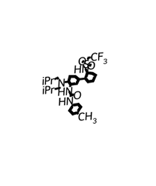 Cc1ccc(NC(=O)Nc2cc(-c3ccccc3NS(=O)(=O)CC(F)(F)F)ccc2N(CC(C)C)CC(C)C)cc1